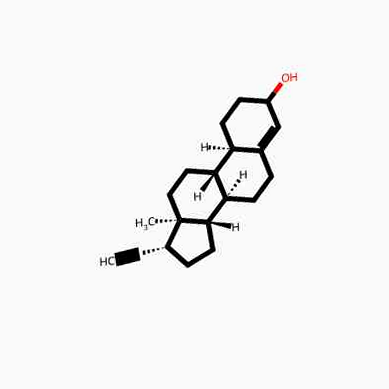 C#C[C@H]1CC[C@H]2[C@@H]3CCC4=CC(O)CC[C@@H]4[C@H]3CC[C@]12C